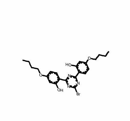 CCCCOc1ccc(-c2nc(Br)nc(-c3ccc(OCCCC)cc3O)n2)c(O)c1